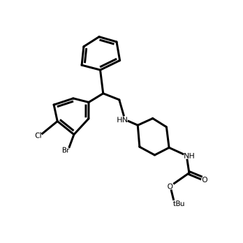 CC(C)(C)OC(=O)NC1CCC(NCC(c2ccccc2)c2ccc(Cl)c(Br)c2)CC1